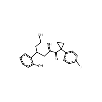 N=C(CC(CCO)c1ccccc1O)C(=O)C1(c2ccc(Cl)cc2)CC1